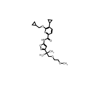 COCCOCC(C)(C)c1cc(NC(=O)c2ccc(C3CC3)c(OCC3CC3)n2)on1